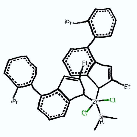 CCC1=Cc2c(-c3ccccc3C(C)C)cccc2[CH]1[Zr]([Cl])([Cl])([CH]1C(CC)=Cc2c(-c3ccccc3C(C)C)cccc21)[SiH](C)C